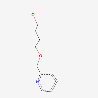 [O]CCCCOCc1ccccn1